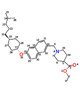 CCOC(=O)C1CCN(Cc2ccc3cc(O[C@H]4CC[C@H](CCCC(C)C)CC4)ccc3c2)CC1